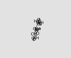 CC(C)(C)OC(=O)NCCCOc1c(Cl)cc(CC(=NOCc2ccccc2)C(=O)NCCCCCCN=C(NC(=O)OC(C)(C)C)NC(=O)OC(C)(C)C)cc1Cl